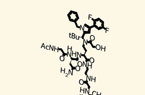 CC(=O)NCC(=O)N[C@@H](CC(N)=O)C(=O)N[C@@H](CCN(C(=O)CO)[C@@H](c1cc(-c2cc(F)ccc2F)cn1Cc1ccccc1)C(C)(C)C)C(=O)NCCNC(=O)CNC(C)(C)C(C)C